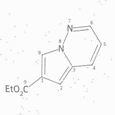 CCOC(=O)c1cc2cccnn2c1